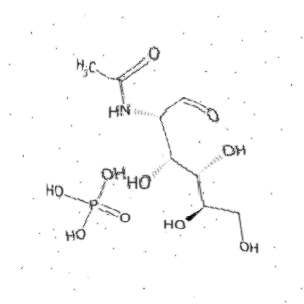 CC(=O)N[C@H](C=O)[C@@H](O)[C@H](O)[C@H](O)CO.O=P(O)(O)O